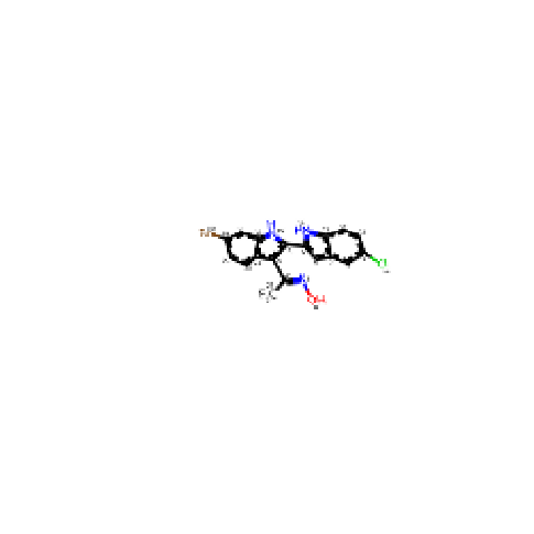 O/N=C(/c1c(-c2cc3cc(Cl)ccc3[nH]2)[nH]c2cc(Br)ccc12)C(F)(F)F